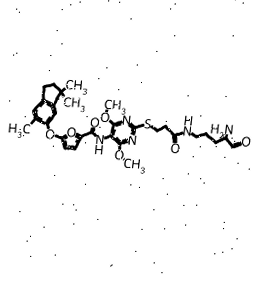 COc1nc(SCCC(=O)NCCC[C@@H](N)C=O)nc(OC)c1NC(=O)c1ccc(Oc2cc3c(cc2C)CCC3(C)C)o1